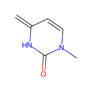 C=C1C=CN(C)C(=O)N1